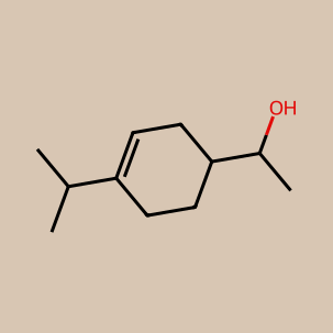 CC(C)C1=CCC(C(C)O)CC1